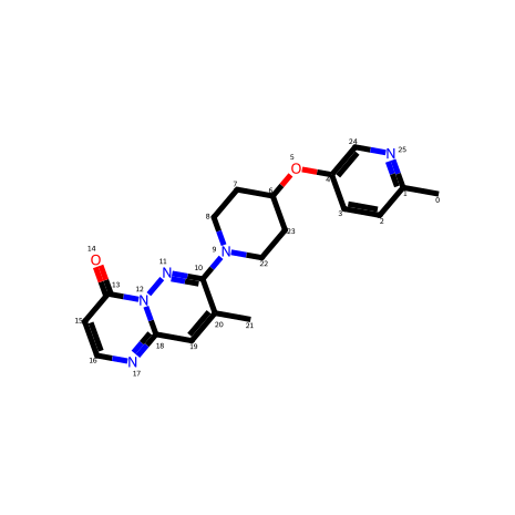 Cc1ccc(OC2CCN(c3nn4c(=O)ccnc4cc3C)CC2)cn1